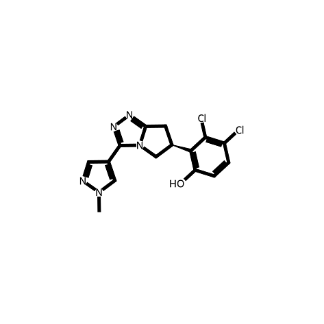 Cn1cc(-c2nnc3n2C[C@H](c2c(O)ccc(Cl)c2Cl)C3)cn1